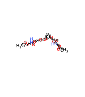 C=CC(=O)OCCNC(=O)OCCCOCCOc1cccc(OCCOC(=O)NCCOC(=O)C=C)c1